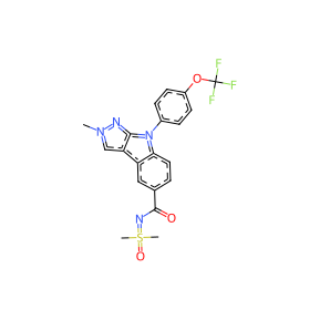 Cn1cc2c3cc(C(=O)N=S(C)(C)=O)ccc3n(-c3ccc(OC(F)(F)F)cc3)c2n1